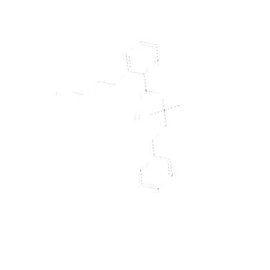 CCCCc1ccccc1C(=O)OC(C)(C)CCc1ccccc1